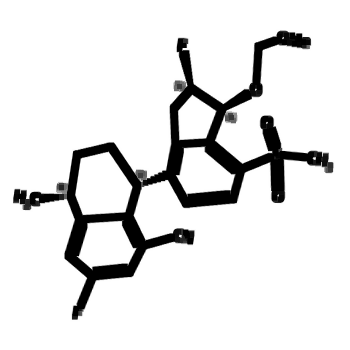 COCO[C@H]1c2c(S(C)(=O)=O)ccc([C@H]3CC[C@@H](C)c4cc(F)cc(C#N)c43)c2C[C@H]1F